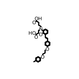 Cc1ccc(OCCCOc2ccc(C=Cc3cccc4c3OC(C(=O)O)CN4CCCC(=O)O)cc2)cc1